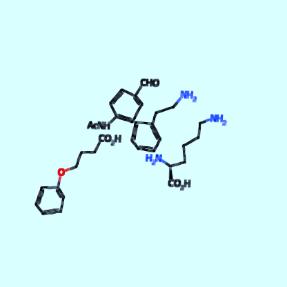 CC(=O)Nc1ccc(C=O)cc1.NCCCC[C@H](N)C(=O)O.NCCc1ccccc1.O=C(O)CCCOc1ccccc1